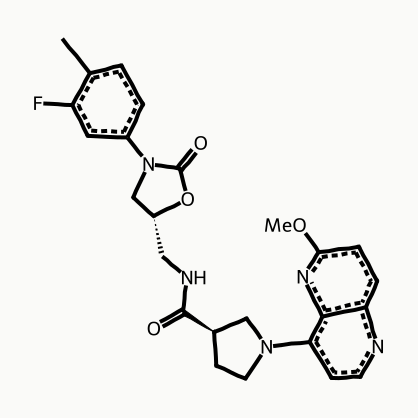 COc1ccc2nccc(N3CC[C@@H](C(=O)NC[C@@H]4CN(c5ccc(C)c(F)c5)C(=O)O4)C3)c2n1